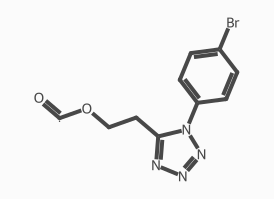 O=[C]OCCc1nnnn1-c1ccc(Br)cc1